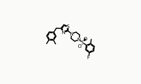 Cc1ccc(Cc2csc(N3CCN(S(=O)(=O)c4cc(F)ccc4C)CC3)n2)cc1C